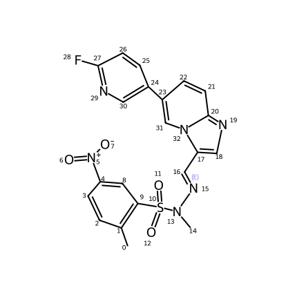 Cc1ccc([N+](=O)[O-])cc1S(=O)(=O)N(C)/N=C/c1cnc2ccc(-c3ccc(F)nc3)cn12